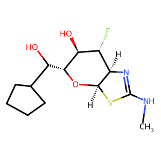 CNC1=N[C@@H]2[C@@H](F)[C@H](O)[C@@H](C(O)C3CCCC3)O[C@@H]2S1